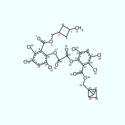 CC1CC(COC(=O)c2c(Cl)c(Cl)cc(Cl)c2OC(=O)C(=O)Oc2c(Cl)cc(Cl)c(Cl)c2C(=O)OCC2C3CC2C3)C1